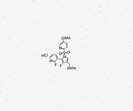 CNCc1cn(S(=O)(=O)c2ccc(OC)cn2)c(-c2cccnc2F)c1F.Cl